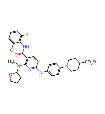 CCOC(=O)C1CCN(c2ccc(Nc3ncc(C(=O)Nc4c(F)cccc4Cl)c(N(C)C4CCCO4)n3)cc2)CC1